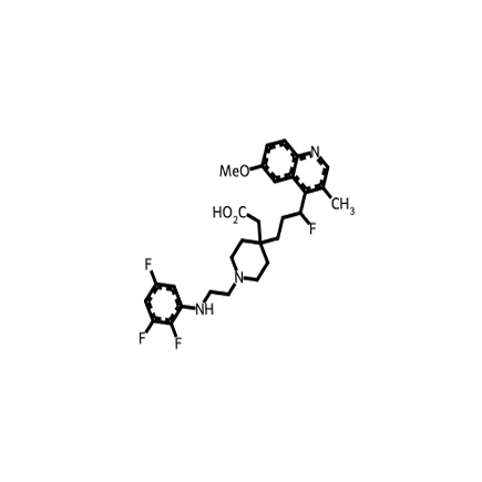 COc1ccc2ncc(C)c(C(F)CCC3(CC(=O)O)CCN(CCNc4cc(F)cc(F)c4F)CC3)c2c1